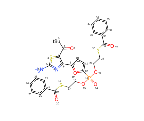 CC(C)(C)C(=O)c1sc(N)nc1-c1ccc(P(=O)(OCCSC(=O)c2ccccc2)OCCSC(=O)c2ccccc2)o1